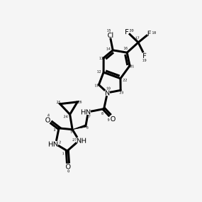 O=C1NC(=O)[C@](CNC(=O)N2Cc3cc(Cl)c(C(F)(F)F)cc3C2)(C2CC2)N1